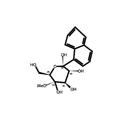 CO[C@@]1(O)[C@H](O)[C@@H](O)[C@](O)(c2cccc3ccccc23)O[C@@H]1CO